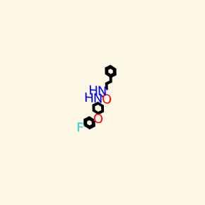 O=C(NCCCc1ccccc1)N[C@H]1CC[C@@H](Oc2ccc(F)cc2)CC1